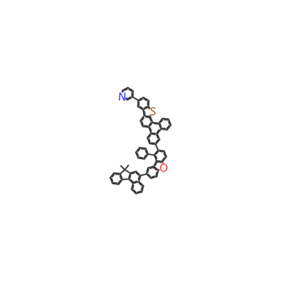 CC1(C)c2ccccc2-c2c1cc(-c1ccc3oc4ccc(-c5ccc6c(c5)c5ccccc5c5c6ccc6c7cc(-c8cccnc8)ccc7sc65)c(-c5ccccc5)c4c3c1)c1ccccc21